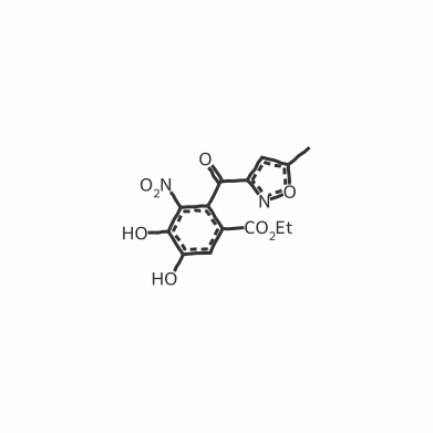 CCOC(=O)c1cc(O)c(O)c([N+](=O)[O-])c1C(=O)c1cc(C)on1